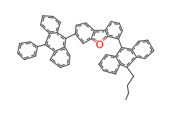 CCCCc1c2ccccc2c(-c2cccc3c2oc2cc(-c4c5ccccc5c(-c5ccccc5)c5ccccc45)ccc23)c2ccccc12